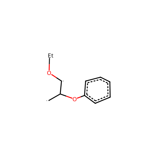 [CH2]C([CH]OCC)Oc1ccccc1